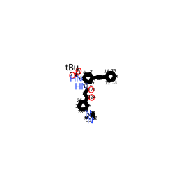 CC(C)(C)OC(=O)Nc1ccc(C#Cc2ccccc2)cc1NC(=O)CC(=O)c1cccc(-n2ccnc2)c1